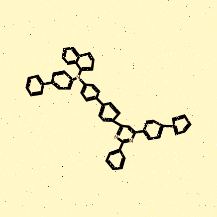 c1ccc(-c2ccc(-c3cc(-c4ccc(-c5ccc(N(c6ccc(-c7ccccc7)cc6)c6cccc7ccccc67)cc5)cc4)nc(-c4ccccc4)n3)cc2)cc1